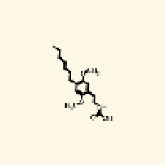 COc1cc(CCNC(=O)O)c(OC)cc1CCCCCCF